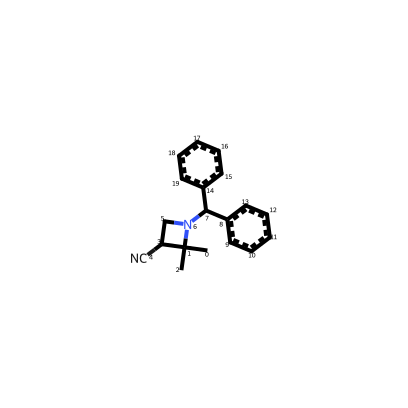 CC1(C)C(C#N)CN1C(c1ccccc1)c1ccccc1